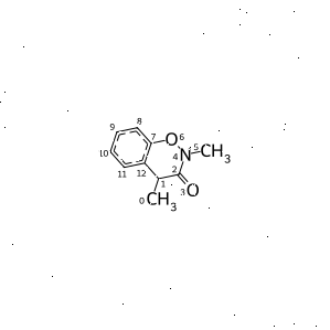 CC1C(=O)N(C)Oc2ccccc21